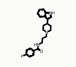 O=C(NCCCN1CCC(c2c[nH]c3ccccc23)CC1)c1ccc(F)cc1